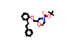 CC(C)(C)OC(=O)N1CCOC(COc2ccccc2CCc2ccccc2)C1